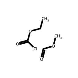 CCOC(=O)Cl.COC=O